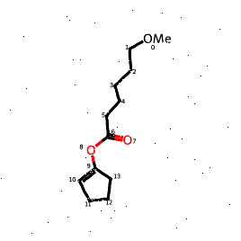 COCCCCCC(=O)OC1=CCCC1